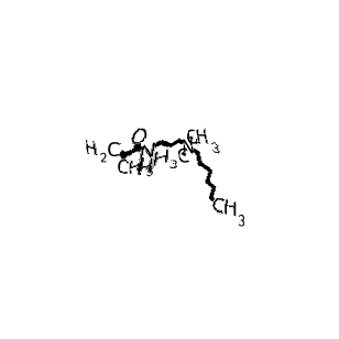 C=C(C)C(=O)NCCC[N+](C)(C)CCCCCCC